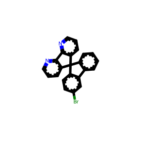 Brc1ccc2c(c1)-c1ccccc1C21c2cccnc2-c2ncccc21